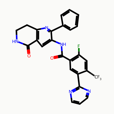 O=C(Nc1cc2c(nc1-c1ccccc1)CCNC2=O)c1cc(-c2ncccn2)c(C(F)(F)F)cc1F